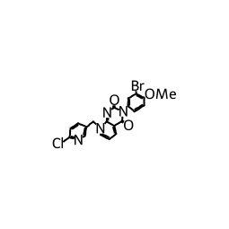 COc1ccc(-n2c(=O)nc3n(Cc4ccc(Cl)nc4)cccc-3c2=O)cc1Br